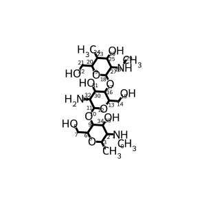 CNC1C(C)OC(CO)C(OC2OC(CO)C(OC3OC(CO)C(C)C(O)C3NC)C(O)C2N)C1O